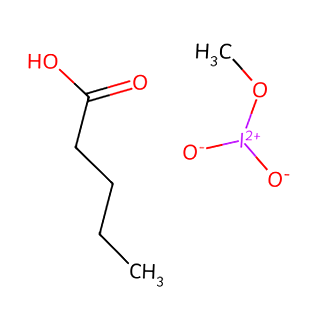 CCCCC(=O)O.CO[I+2]([O-])[O-]